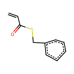 C=CC(=O)SCc1ccccc1